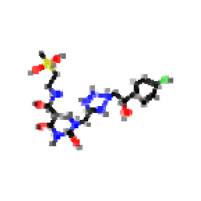 Cn1c(=O)c(C(=O)NCCS(C)(=O)=O)cn(Cc2nnn(C[C@H](O)c3ccc(Cl)cc3)n2)c1=O